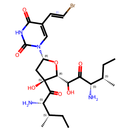 CC[C@H](C)[C@H](N)C(=O)C(O)[C@H]1O[C@@H](n2cc(/C=C/Br)c(=O)[nH]c2=O)C[C@@]1(O)C(=O)[C@@H](N)[C@@H](C)CC